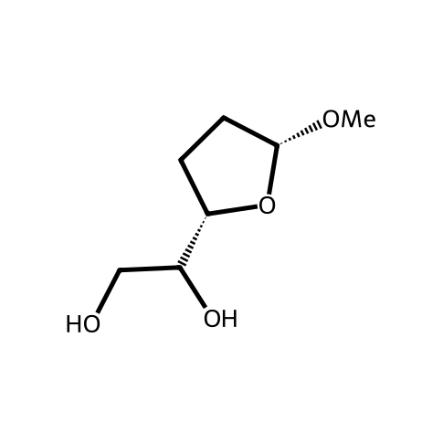 CO[C@H]1CC[C@@H](C(O)CO)O1